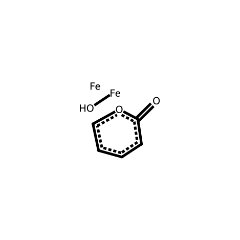 O=c1cccco1.[Fe].[OH][Fe]